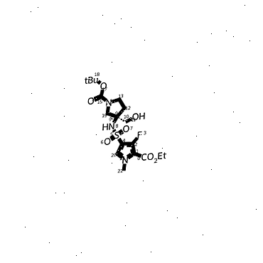 CCOC(=O)c1c(F)c(S(=O)(=O)N[C@]2(CO)CCN(C(=O)OC(C)(C)C)C2)cn1C